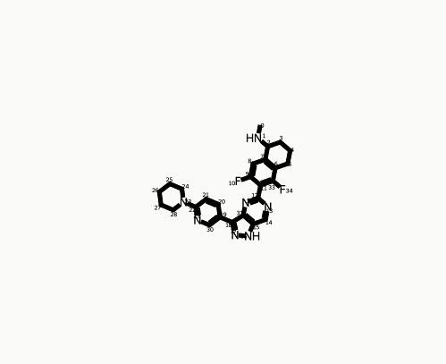 CNC1CCCc2c1cc(F)c(-c1ncc3[nH]nc(-c4ccc(N5CCCCC5)nc4)c3n1)c2F